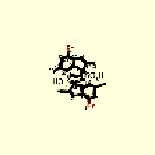 CC1=Cc2c(Br)cc(C)cc2C1([Si](C)(C)C1(S(=O)(=O)O)C(C)=Cc2c(Br)cc(C)cc21)S(=O)(=O)O